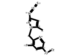 CCOc1cnc(Cn2nc(N=C=S)cc2C)c(F)c1